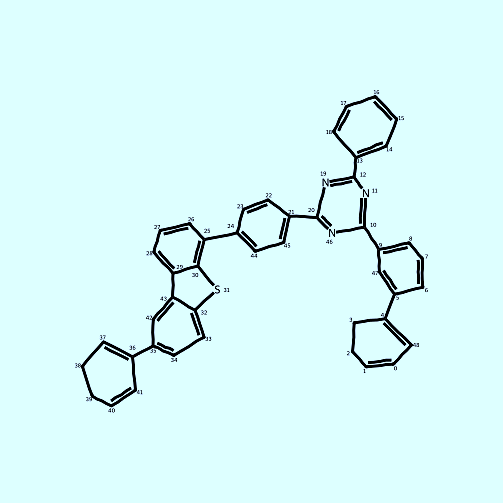 C1=CCCC(c2cccc(-c3nc(-c4ccccc4)nc(-c4ccc(-c5cccc6c5sc5ccc(C7=CCCC=C7)cc56)cc4)n3)c2)=C1